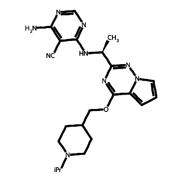 CC(C)N1CCC(COc2nc([C@H](C)Nc3ncnc(N)c3C#N)nn3cccc23)CC1